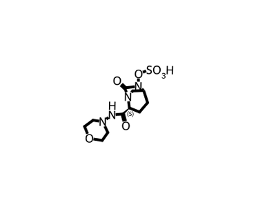 O=C(NN1CCOCC1)[C@@H]1CCC2CN1C(=O)N2OS(=O)(=O)O